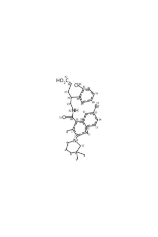 Cc1c(N2CCCC(C)(C)C2)nc2ccc(Br)cc2c1C(=O)NCC(CCC(=O)O)c1ccccc1Cl